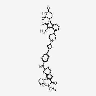 CN(C)C(=O)c1cc2cnc(Nc3ccc(C4CC(N5CCN(c6cccc7c6n(C)c(=O)n7[C@H]6CCC(=O)NC6=O)CC5)C4)cn3)nc2n1C1CCCC1